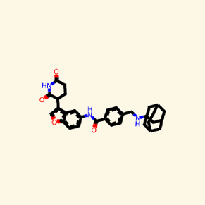 O=C1CCC(c2coc3ccc(NC(=O)c4ccc(CNC56CC7CC(CC(C7)C5)C6)cc4)cc23)C(=O)N1